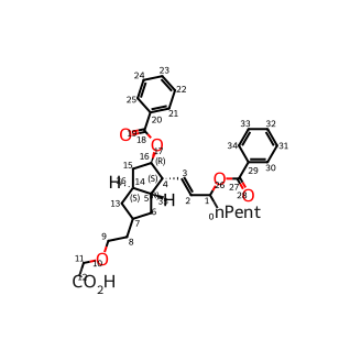 CCCCCC(C=C[C@@H]1[C@@H]2CC(CCOCC(=O)O)C[C@H]2C[C@H]1OC(=O)c1ccccc1)OC(=O)c1ccccc1